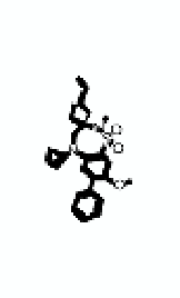 CCCC[C@]1(CC)CN(C23CC(C2)C3)c2cc(-c3ccccc3)c(OC)cc2S(=O)(=O)N1C